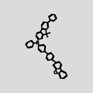 CC1(C)c2cc(-c3ccccc3)ccc2-c2ccc(N(c3ccccc3)c3ccc(-c4ccc(-c5ccc6c(c5)oc5ccccc56)cc4)cc3)cc21